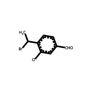 CC(Br)c1ccc(C=O)cc1Cl